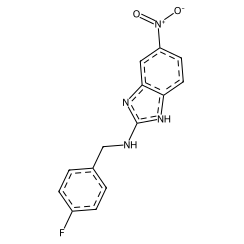 O=[N+]([O-])c1ccc2[nH]c(NCc3ccc(F)cc3)nc2c1